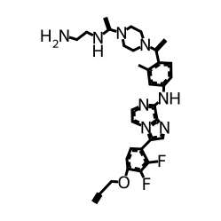 C#CCOc1ccc(-c2cnc3c(Nc4ccc(C(=C)N5CCN(C(=C)NCCN)CC5)c(C)c4)nccn23)c(F)c1F